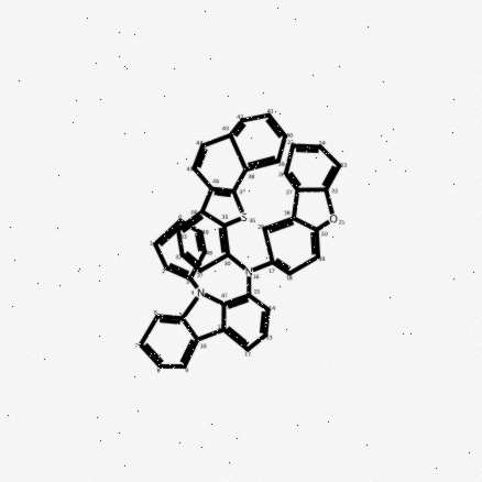 c1ccc(-n2c3ccccc3c3cccc(N(c4ccc5oc6ccccc6c5c4)c4cccc5c4sc4c6ccccc6ccc54)c32)cc1